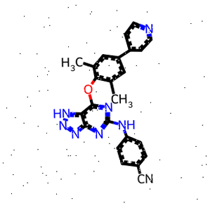 Cc1cc(-c2ccncc2)cc(C)c1Oc1nc(Nc2ccc(C#N)cc2)nc2nn[nH]c12